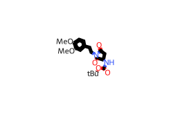 COc1ccc(CCN2C(=O)CC(NC(=O)OC(C)(C)C)C2=O)cc1OC